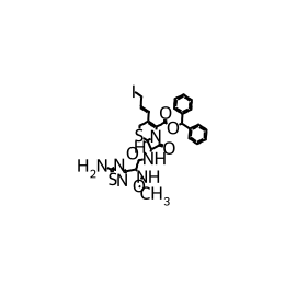 CONC(C(=O)NC1C(=O)N2C(C(=O)OC(c3ccccc3)c3ccccc3)=C(/C=C/CI)CS[C@H]12)c1nsc(N)n1